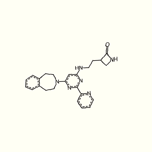 O=C1NCC1CCNc1cc(N2CCc3ccccc3CC2)nc(-c2ccccn2)n1